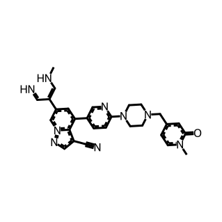 CN/C=C(\C=N)c1cc(-c2ccc(N3CCN(Cc4ccn(C)c(=O)c4)CC3)nc2)c2c(C#N)cnn2c1